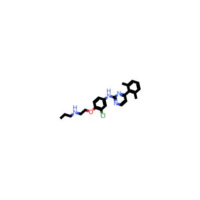 CCCNCCOc1ccc(Nc2nccc(-c3c(C)cccc3C)n2)cc1Cl